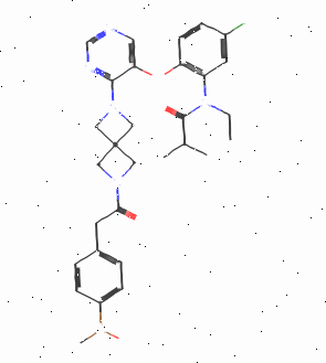 CCN(C(=O)C(C)C)c1cc(F)ccc1Oc1cncnc1N1CC2(CN(C(=O)Cc3ccc([S+](C)[O-])cc3)C2)C1